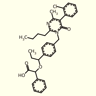 CCCCc1nc(C)c(-c2ccccc2Cl)c(=O)n1Cc1ccc(C(CC)OC(C(=O)O)c2ccccc2)cc1